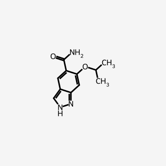 CC(C)Oc1cc2n[nH]cc2cc1C(N)=O